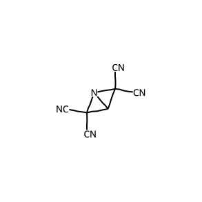 N#CC1(C#N)C2N1C2(C#N)C#N